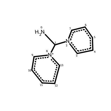 NC([n+]1ccccc1)[n+]1ccccc1